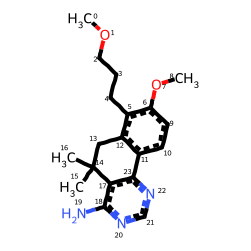 COCCCc1c(OC)ccc2c1CC(C)(C)c1c(N)ncnc1-2